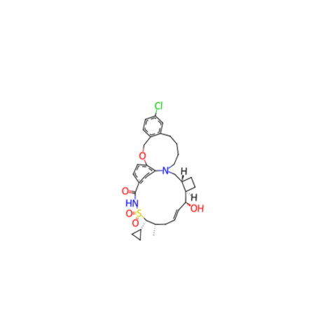 C[C@H]1C/C=C/[C@H](O)[C@@H]2CC[C@H]2CN2CCCCc3cc(Cl)ccc3COc3ccc(cc32)C(=O)NS(=O)(=O)[C@H]1C1CC1